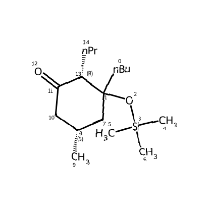 CCCCC1(O[Si](C)(C)C)C[C@H](C)CC(=O)[C@@H]1CCC